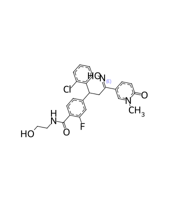 Cn1cc(/C(CC(c2ccc(C(=O)NCCO)c(F)c2)c2ccccc2Cl)=N/O)ccc1=O